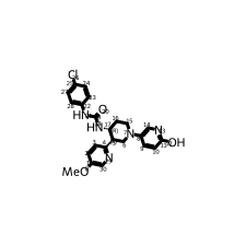 COc1ccc([C@@H]2CN(c3ccc(O)nc3)CC[C@H]2NC(=O)Nc2ccc(Cl)cc2)nc1